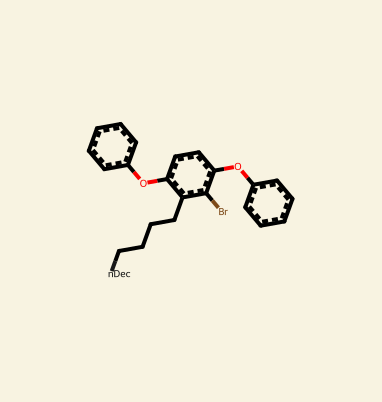 CCCCCCCCCCCCCCc1c(Oc2ccccc2)ccc(Oc2ccccc2)c1Br